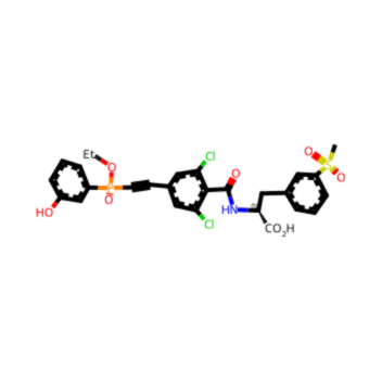 CCOP(=O)(C#Cc1cc(Cl)c(C(=O)N[C@@H](Cc2cccc(S(C)(=O)=O)c2)C(=O)O)c(Cl)c1)c1cccc(O)c1